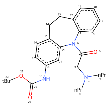 CCCN(CCC)CC(=O)N1c2ccccc2CCc2ccc(NC(=O)OC(C)(C)C)cc21